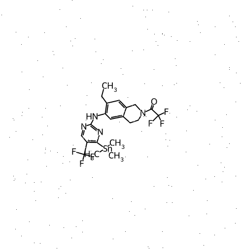 CCc1cc2c(cc1Nc1ncc(C(F)(F)F)[c]([Sn]([CH3])([CH3])[CH3])n1)CCN(C(=O)C(F)(F)F)C2